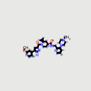 COc1cc(-c2cc(C(=O)N3CC[C@H](C(=O)NCc4ncc(F)cc4N4CCN(C)CC4)CC34CC4)n[nH]2)c(F)cn1